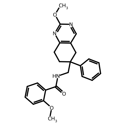 COc1ncc2c(n1)CCC(CNC(=O)c1ccccc1OC)(c1ccccc1)C2